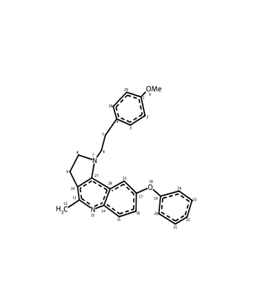 COc1ccc(CCN2CCc3c(C)nc4ccc(Oc5ccccc5)cc4c32)cc1